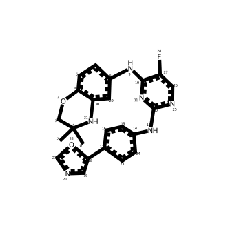 CC1(C)COc2ccc(Nc3nc(Nc4ccc(-c5cnco5)cc4)ncc3F)cc2N1